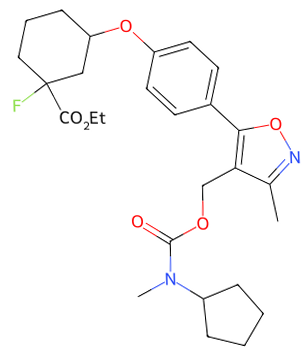 CCOC(=O)C1(F)CCCC(Oc2ccc(-c3onc(C)c3COC(=O)N(C)C3CCCC3)cc2)C1